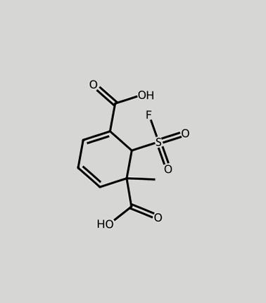 CC1(C(=O)O)C=CC=C(C(=O)O)C1S(=O)(=O)F